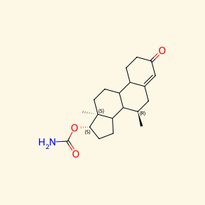 C[C@@H]1CC2=CC(=O)CCC2C2CC[C@@]3(C)C(CC[C@@H]3OC(N)=O)C21